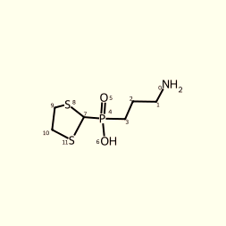 NCCCP(=O)(O)C1SCCS1